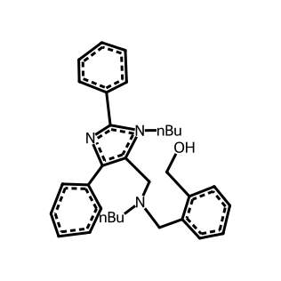 CCCCN(Cc1ccccc1CO)Cc1c(-c2ccccc2)nc(-c2ccccc2)n1CCCC